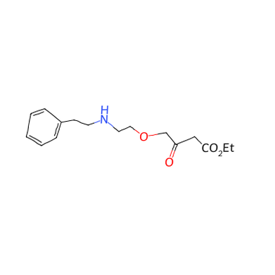 CCOC(=O)CC(=O)COCCNCCc1ccccc1